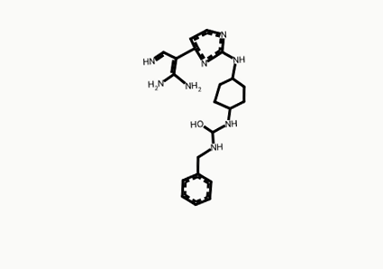 N=CC(=C(N)N)c1ccnc(NC2CCC(NC(O)NCc3ccccc3)CC2)n1